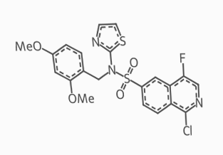 COc1ccc(CN(c2nccs2)S(=O)(=O)c2ccc3c(Cl)ncc(F)c3c2)c(OC)c1